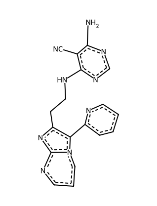 N#Cc1c(N)ncnc1NCCc1nc2ncccn2c1-c1ccccn1